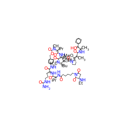 CCNC1CC(=O)N(CCCCCC(=O)N[C@H](C(=O)N[C@@H](CCCNC(N)=O)C(=O)Nc2ccc(COC(=O)N(C)[C@H](C(=O)N[C@H](C(=O)N(C)[C@@H]([C@@H](C)CC)[C@@H](CC(=O)N3CCC[C@H]3[C@H](OC)[C@@H](C)C(=O)N[C@H](C)[C@@H](O)c3ccccc3)OC)C(C)C)C(C)C)cc2)C(C)C)C1=O